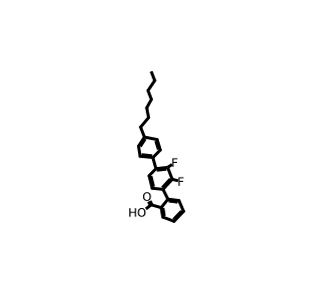 CCCCCCCc1ccc(-c2ccc(-c3ccccc3C(=O)O)c(F)c2F)cc1